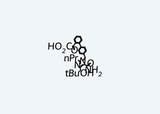 CCCc1nc(C(O)C(C)(C)C)c(C(N)=O)n1Cc1ccc(-c2ccccc2C(=O)C(=O)O)cc1